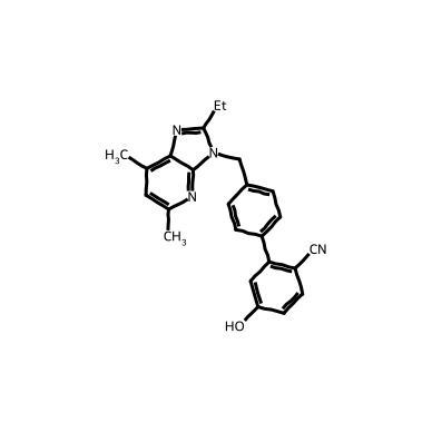 CCc1nc2c(C)cc(C)nc2n1Cc1ccc(-c2cc(O)ccc2C#N)cc1